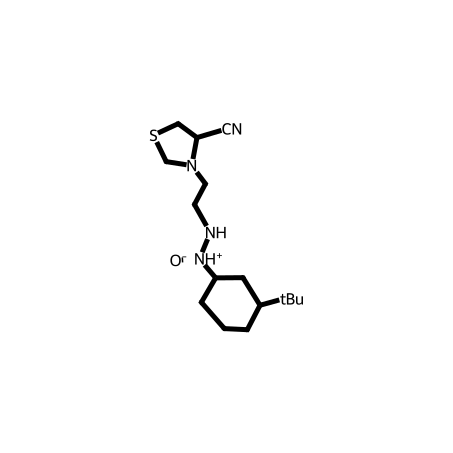 CC(C)(C)C1CCCC([NH+]([O-])NCCN2CSCC2C#N)C1